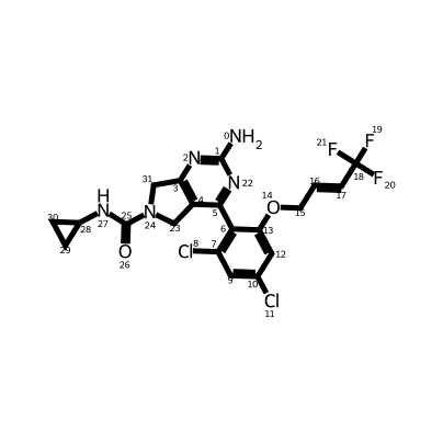 Nc1nc2c(c(-c3c(Cl)cc(Cl)cc3OC/C=C/C(F)(F)F)n1)CN(C(=O)NC1CC1)C2